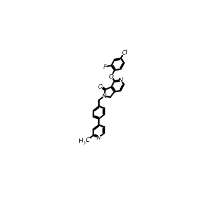 Cc1cc(-c2ccc(CN3Cc4ccnc(Oc5ccc(Cl)cc5F)c4C3=O)cc2)ccn1